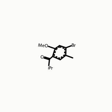 COc1cc(Br)c(C)cc1C(=O)C(C)C